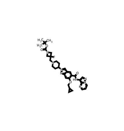 CC(C)(C)OC(=O)N1CC(F)(CN2CCC(n3cc4cc(C(=O)Nc5cnn6cccnc56)c(OCC5CC5)cc4n3)CC2)C1